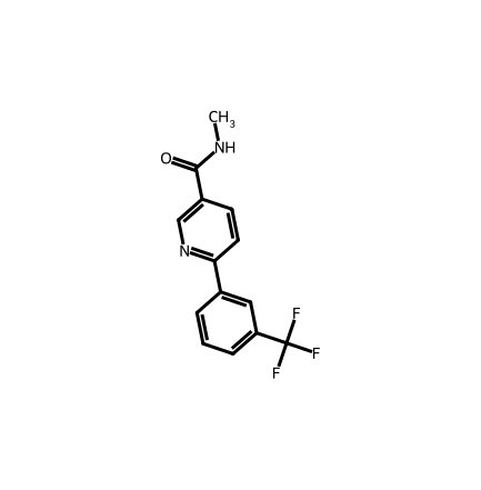 CNC(=O)c1ccc(-c2cccc(C(F)(F)F)c2)nc1